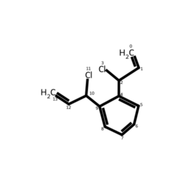 C=CC(Cl)c1ccccc1C(Cl)C=C